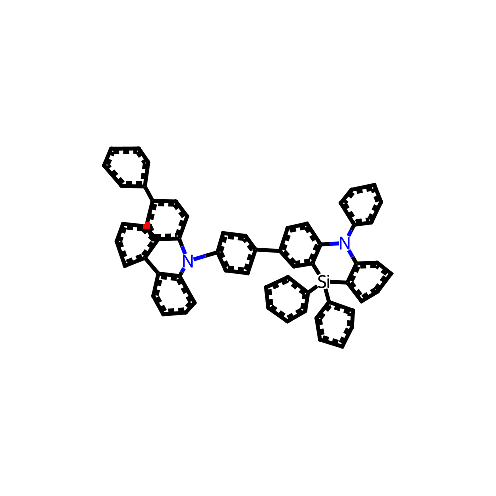 c1ccc(-c2ccc(N(c3ccc(-c4ccc5c(c4)[Si](c4ccccc4)(c4ccccc4)c4ccccc4N5c4ccccc4)cc3)c3ccccc3-c3ccccc3)cc2)cc1